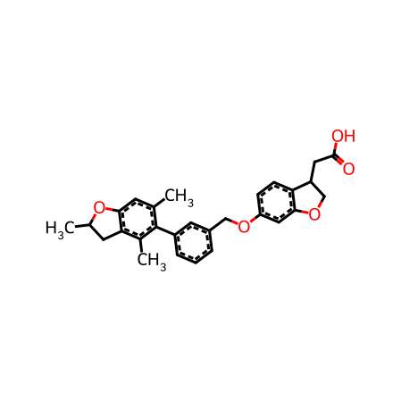 Cc1cc2c(c(C)c1-c1cccc(COc3ccc4c(c3)OCC4CC(=O)O)c1)CC(C)O2